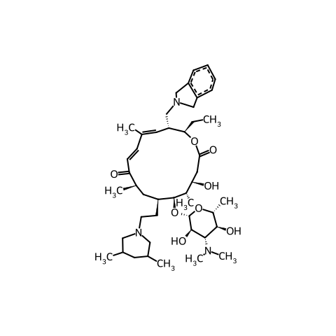 CC[C@H]1OC(=O)C[C@@H](O)[C@H](C)[C@@H](O[C@@H]2O[C@H](C)[C@@H](O)[C@H](N(C)C)[C@H]2O)[C@@H](CCN2CC(C)CC(C)C2)C[C@@H](C)C(=O)/C=C/C(C)=C/[C@@H]1CN1Cc2ccccc2C1